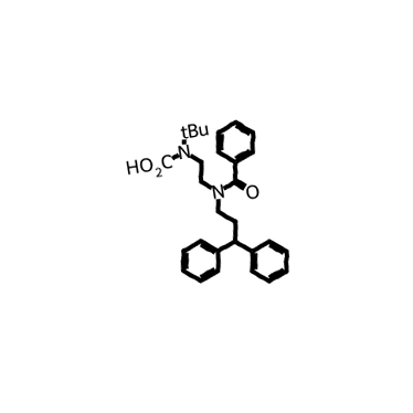 CC(C)(C)N(CCN(CCC(c1ccccc1)c1ccccc1)C(=O)c1ccccc1)C(=O)O